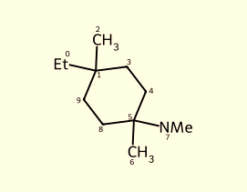 CCC1(C)CCC(C)(NC)CC1